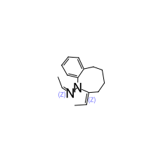 C/C=N\N1/C(=C\C)CCCCc2ccccc21